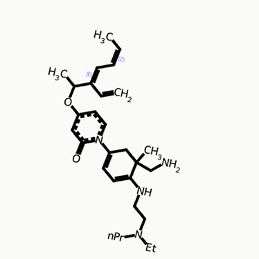 C=C/C(=C\C=C/C)C(C)Oc1ccn(C2=CC=C(NCCN(CC)CCC)C(C)(CN)C2)c(=O)c1